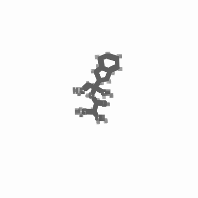 C=CC(C)(OC(=O)C(=C)C)C1Cc2ccccc2C1